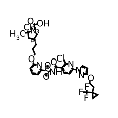 CC1(C)C[C@H](CCCOc2cccc(S(=O)(=O)NC(=O)c3ccc(-n4ccc(OCCC5(C(F)(F)F)CC5)n4)nc3Cl)n2)CN1C(=O)O